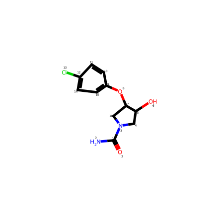 NC(=O)N1CC(O)C(Oc2ccc(Cl)cc2)C1